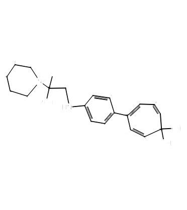 BC1(C)C=CC=C(c2ccc(NCC(C)(C)N3CCCCC3)cc2)C=C1